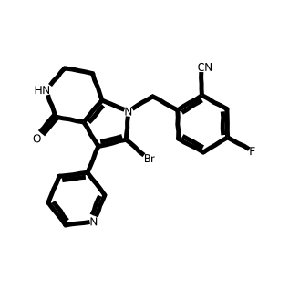 N#Cc1cc(F)ccc1Cn1c(Br)c(-c2cccnc2)c2c1CCNC2=O